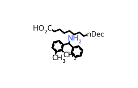 CCCCCCCCCCCCCCCCCC(=O)O.Cc1cccc(C(N)c2ccccc2)c1C